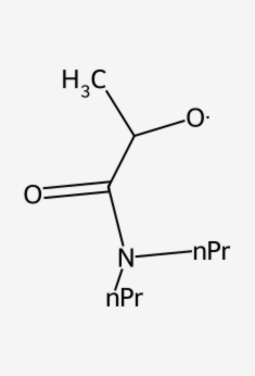 CCCN(CCC)C(=O)C(C)[O]